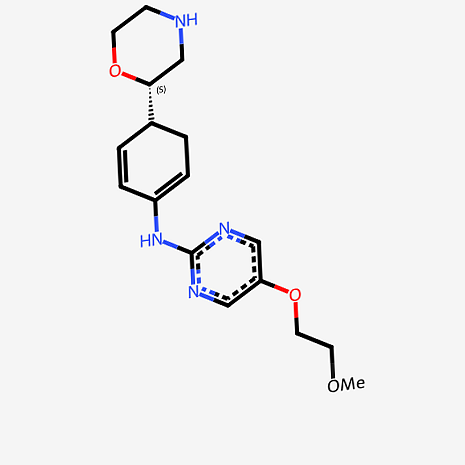 COCCOc1cnc(NC2=CCC([C@H]3CNCCO3)C=C2)nc1